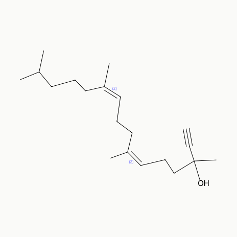 C#CC(C)(O)CC/C=C(/C)CC/C=C(/C)CCCC(C)C